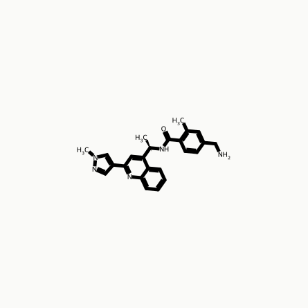 Cc1cc(CN)ccc1C(=O)N[C@H](C)c1cc(-c2cnn(C)c2)nc2ccccc12